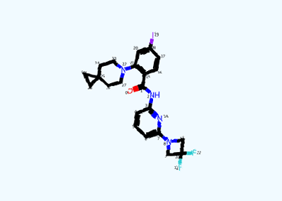 O=C(Nc1cccc(N2CC(F)(F)C2)n1)c1ccc(I)cc1N1CCC2(CC1)CC2